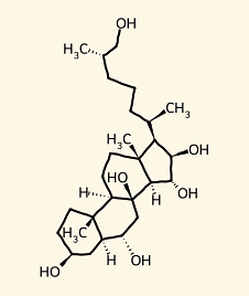 C[C@H](CO)CCC[C@@H](C)[C@H]1[C@@H](O)[C@H](O)[C@@H]2[C@]1(C)CC[C@@H]1[C@@]3(C)CC[C@H](O)C[C@@H]3[C@@H](O)C[C@]12O